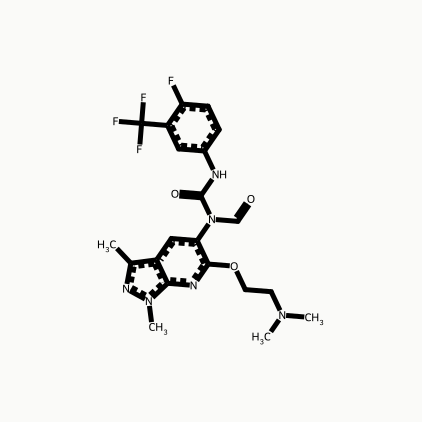 Cc1nn(C)c2nc(OCCN(C)C)c(N(C=O)C(=O)Nc3ccc(F)c(C(F)(F)F)c3)cc12